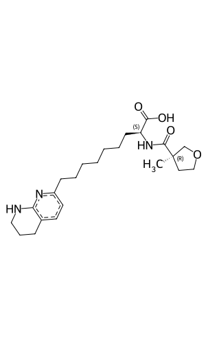 C[C@@]1(C(=O)N[C@@H](CCCCCCCc2ccc3c(n2)NCCC3)C(=O)O)CCOC1